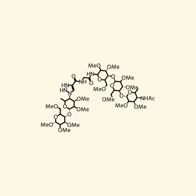 COCC1OC(NC(=O)CNC(=O)C2=CN([C@@H]3C(C)O[C@@H](O[C@H]4C(COC)O[C@@H](OC)C(OC)[C@@H]4OC)C(OC)[C@@H]3OC)NN2)C(OC)[C@H](OC)[C@H]1O[C@@H]1OC(COC)[C@H](O[C@@H]2OC(C)[C@@H](NC(C)=O)[C@@H](OC)C2OC)[C@@H](OC)C1OC